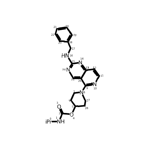 CC(C)NC(=O)OC1CCN(c2nccc3nc(NCc4ccccc4)ncc23)CC1